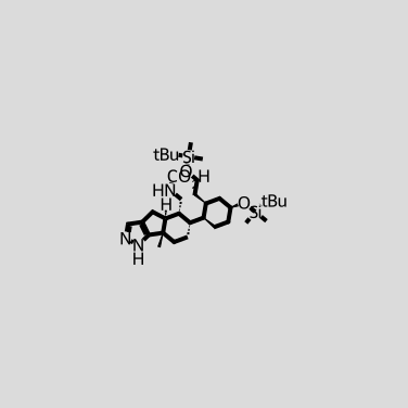 CC(C)(C)[Si](C)(C)OCC[C@H]1C[C@@H](O[Si](C)(C)C(C)(C)C)CC[C@H]1[C@@H]1CC[C@]2(C)c3[nH]ncc3C[C@H]2[C@@H]1CNC(=O)O